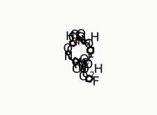 O=C(O)c1cc(CN2CC(Oc3ccc(N(N4CC(Oc5ccc(F)cc5)C4)[SH](=O)=O)c(C(=O)O)c3)C2)ccc1N(N1CC(Oc2ccc(F)cc2)C1)[SH](=O)=O